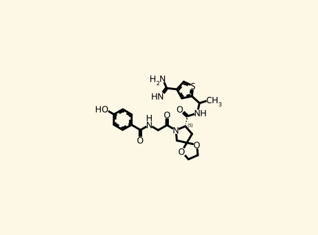 CC(NC(=O)[C@@H]1CC2(CN1C(=O)CNC(=O)c1ccc(O)cc1)OCCO2)c1cc(C(=N)N)cs1